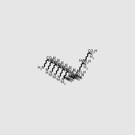 CC(=O)O.CC(=O)O.CC(=O)O.CC(=O)O.CC(=O)O.CC(=O)O.CC(=O)O.NCCCC[C@H](N)C(=O)O.NCCCC[C@H](N)C(=O)O.NCCCC[C@H](N)C(=O)O.NCCCC[C@H](N)C(=O)O.NCCCC[C@H](N)C(=O)O.NCCCC[C@H](N)C(=O)O.NCCCC[C@H](N)C(=O)O.NCCCC[C@H](N)C(=O)O